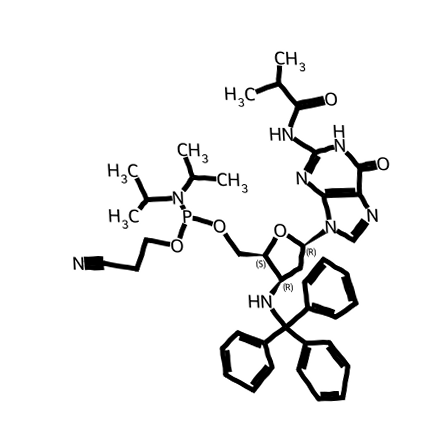 CC(C)C(=O)Nc1nc2c(ncn2[C@H]2C[C@@H](NC(c3ccccc3)(c3ccccc3)c3ccccc3)[C@@H](COP(OCCC#N)N(C(C)C)C(C)C)O2)c(=O)[nH]1